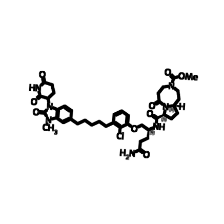 COC(=O)N1CCC(=O)N2[C@H](CC[C@H]2C(=O)N[C@@H](CCC(N)=O)COc2cccc(CCCCCc3ccc4c(c3)n(C)c(=O)n4C3CCC(=O)NC3=O)c2Cl)CC1